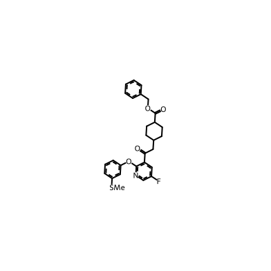 CSc1cccc(Oc2ncc(F)cc2C(=O)CC2CCC(C(=O)OCc3ccccc3)CC2)c1